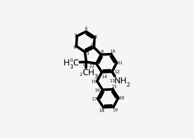 CC1(C)C2=C(C=CCC2)c2ccc(N)c(Cc3ccccc3)c21